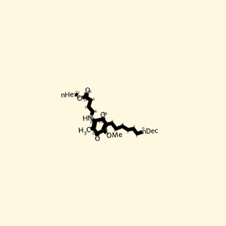 CCCCCCCCCCCCCCCCC1=C(OC)C(=O)C(C)=C(NCCCC(=O)OCCCCCC)C1=O